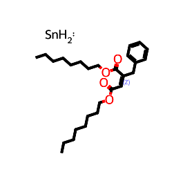 CCCCCCCCOC(=O)/C=C(/Cc1ccccc1)C(=O)OCCCCCCCC.[SnH2]